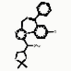 COC(c1nnc2n1-c1ccc(Cl)cc1C(c1ccccc1)=NC2)C1COC(C)(C)O1